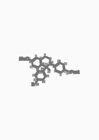 CCCCCc1ccc(N2CCc3cc(OC)ccc3C2(C)c2ccc(Br)cc2)cc1